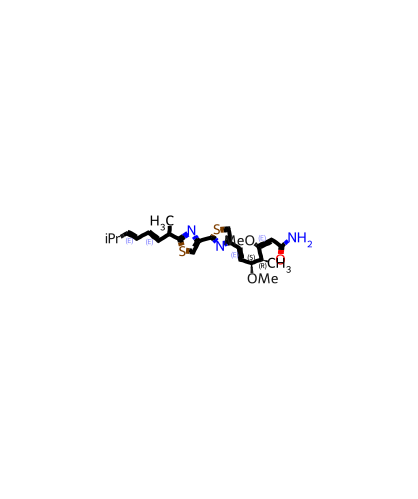 CO/C(=C/C(N)=O)[C@H](C)[C@H](/C=C/c1csc(-c2csc(C(C)/C=C/C=C/C(C)C)n2)n1)OC